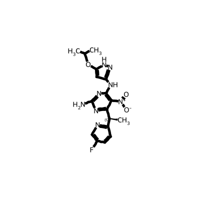 CC(C)Oc1cc(Nc2nc(N)nc([C@@H](C)c3ccc(F)cn3)c2[N+](=O)[O-])n[nH]1